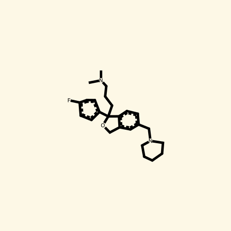 CN(C)CCCC1(c2ccc(F)cc2)OCc2cc(CN3CCCCC3)ccc21